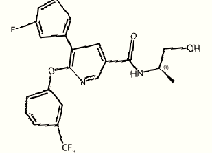 C[C@H](CO)NC(=O)c1cnc(Oc2cccc(C(F)(F)F)c2)c(-c2cccc(F)c2)c1